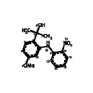 COc1ccc(C(C)(C)O)c(Nc2ccccc2[N+](=O)[O-])c1